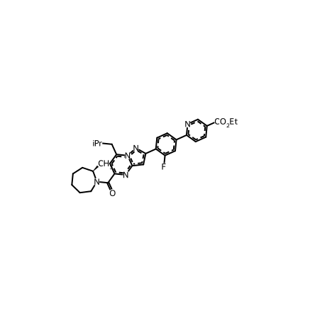 CCOC(=O)c1ccc(-c2ccc(-c3cc4nc(C(=O)N5CCCCC[C@H]5C)cc(CC(C)C)n4n3)c(F)c2)nc1